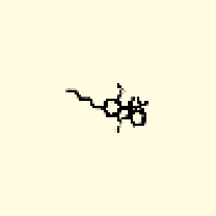 CCCCCc1cc(OC)c(C2(O)C3(C)CCC(C3)C2(C)C)c(OC)c1